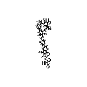 CC(CCC(=O)NC=O)N1C(=O)c2ccc(N3CCN(CCN4C(C)CN(c5cc(C(=N)c6cc([N+](=O)[O-])ccc6N)ccn5)CC4C)CC3)cc2C1=O